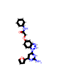 Nc1nc(-c2ccco2)cc(-n2nnc3cc(OCC(=O)Nc4ccccc4)ccc32)n1